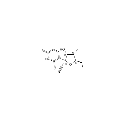 CC[C@H]1O[C@@](C#N)(n2ccc(=O)[nH]c2=O)[C@H](O)[C@@H]1C